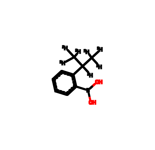 [2H]C([2H])([2H])C([2H])(c1ccccc1B(O)O)C([2H])([2H])[2H]